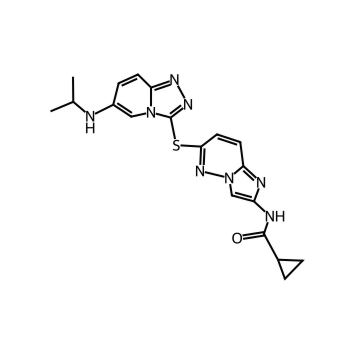 CC(C)Nc1ccc2nnc(Sc3ccc4nc(NC(=O)C5CC5)cn4n3)n2c1